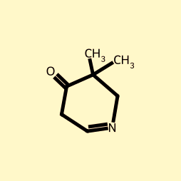 CC1(C)CN=CCC1=O